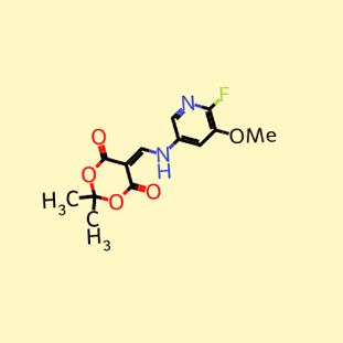 COc1cc(NC=C2C(=O)OC(C)(C)OC2=O)cnc1F